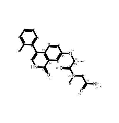 Cc1ccccc1-c1c[nH]c(=O)c2cc(O[C@H](C)C(=O)N(C)CC(N)=O)ccc12